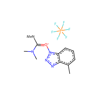 CNC(=[O+]n1nnc2c(C)cccc21)N(C)C.F[P-](F)(F)(F)(F)F